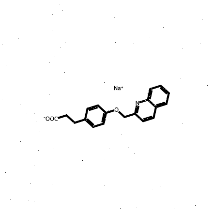 O=C([O-])CCc1ccc(OCc2ccc3ccccc3n2)cc1.[Na+]